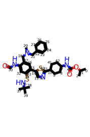 CC(C)OC(=O)NC1CCC(c2ncc(-c3cc(CN(C)Cc4ccccc4)c(NC=O)cc3SNC(C)(C)C)s2)CC1